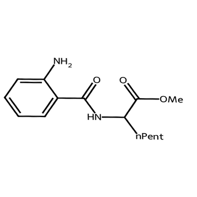 CCCCCC(NC(=O)c1ccccc1N)C(=O)OC